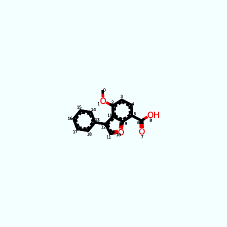 COc1ccc(C(=O)O)c2occ(-c3ccccc3)c12